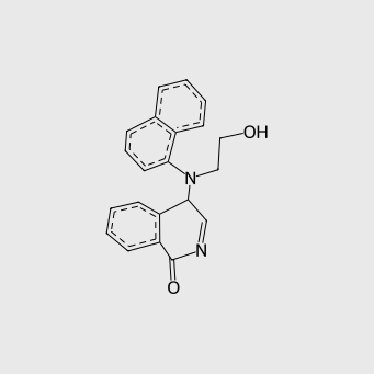 O=C1N=CC(N(CCO)c2cccc3ccccc23)c2ccccc21